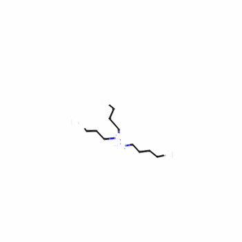 CCCCCNN(CCCC)CCCC